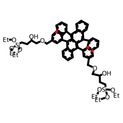 CCO[Si](CCC(O)COCc1cccc(-c2c3ccccc3c(-c3cccc(COCC(O)CC[Si](OCC)(OCC)OCC)c3)c3c(-c4ccccc4)c4ccccc4c(-c4ccccc4)c23)c1)(OCC)OCC